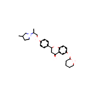 CC1CCN(C(C)COc2ccc(C3CC(=O)c4cc(OC5CCCCO5)ccc4O3)cc2)C1